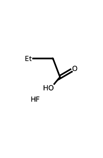 CCCC(=O)O.F